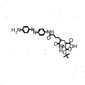 CC(C)(C)OC(=O)N[C@@H](C[C@H](CCCC(=O)Nc1ccc(/N=N/c2ccc(N)cc2)cc1)C(=O)O)C(=O)O